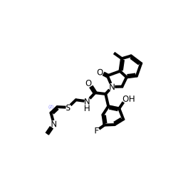 C=N/C=C\SCNC(=O)C(c1cc(F)ccc1O)N1Cc2cccc(C)c2C1=O